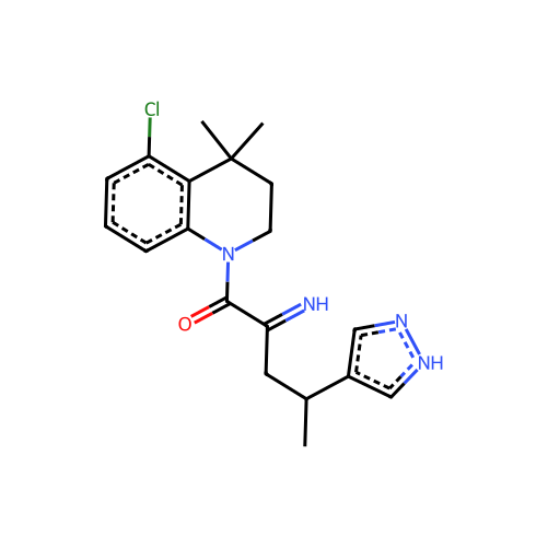 CC(CC(=N)C(=O)N1CCC(C)(C)c2c(Cl)cccc21)c1cn[nH]c1